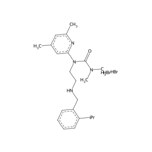 Br.Br.Cc1cc(C)nc(N(CCNCc2ccccc2C(C)C)C(=O)N(C)C)c1